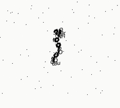 CN1C[C@H](Nc2nc3sccn3c(=O)c2Br)C[C@H](c2ccc(OCC(=O)N3CCC(N(C)C(=O)OC(C)(C)C)CC3)cc2)C1